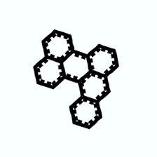 c1ccc2c(c1)cc1cccc3c4cccc5cccc(c54)c2c13